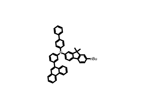 CCCCc1ccc2c(c1)C(C)(C)c1cc(N(c3ccc(-c4ccccc4)cc3)c3cccc(-c4cc5ccccc5c5ccccc45)c3)ccc1-2